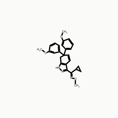 CO/N=C(/c1n[nH]c2c1C=CC(c1cccc(OC)c1)(c1cccc(OC)c1)C2)C1CC1